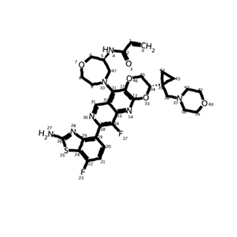 C=CC(=O)N[C@@H]1COCCN(c2c3c(nc4c(F)c(-c5ccc(F)c6sc(N)nc56)ncc24)O[C@@H](C2(CN4CCOCC4)CC2)CO3)C1